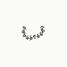 Cc1ccsc1-c1ccc(-c2ccc(-c3ccc(-c4sc(-c5cc(C)c(-c6ccc(-c7ccc(-c8ccc(-c9sccc9C)s8)s7)s6)s5)cc4C)s3)s2)s1